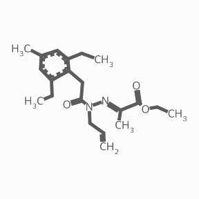 C=CCN(N=C(C)C(=O)OCC)C(=O)Cc1c(CC)cc(C)cc1CC